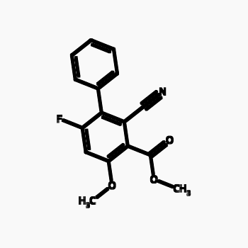 COC(=O)c1c(OC)cc(F)c(-c2ccccc2)c1C#N